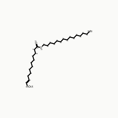 CCCCCCCCC=CCCCCCCCCCC(=O)OCCCCCCCCCCCCCCC(C)C